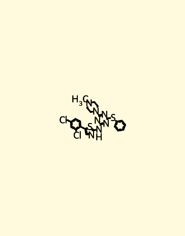 CN1CCN(c2nc(Nc3ncc(-c4ccc(Cl)cc4Cl)s3)nc(Sc3ccccc3)n2)CC1